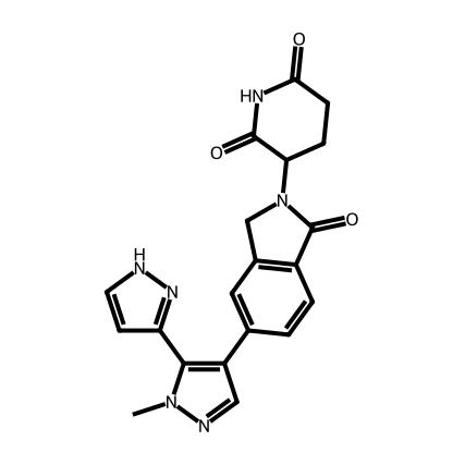 Cn1ncc(-c2ccc3c(c2)CN(C2CCC(=O)NC2=O)C3=O)c1-c1cc[nH]n1